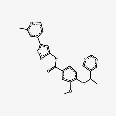 COc1cc(C(=O)Nc2nnc(-c3ccnc(C)c3)s2)ccc1OC(C)c1cccnc1